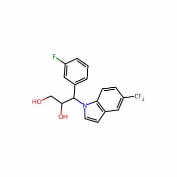 OCC(O)C(c1cccc(F)c1)n1ccc2cc(C(F)(F)F)ccc21